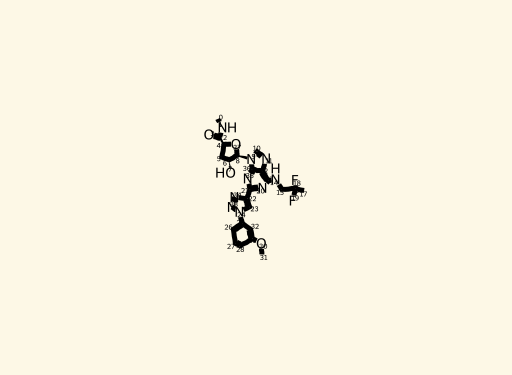 CNC(=O)[C@@H]1C[C@@H](O)[C@H](n2cnc3c(NCC(C)(F)F)nc(-c4cn(-c5cccc(OC)c5)nn4)nc32)O1